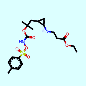 CCOC(=O)CCNC1CC1CC(C)(C)OC(=O)NOS(=O)(=O)c1ccc(C)cc1